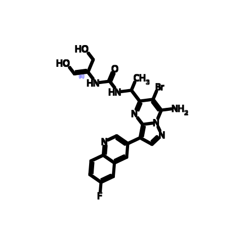 CC(NC(=O)N/C(=C/O)CO)c1nc2c(-c3cnc4ccc(F)cc4c3)cnn2c(N)c1Br